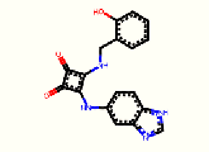 O=c1c(NCc2ccccc2O)c(Nc2ccc3[nH]cnc3c2)c1=O